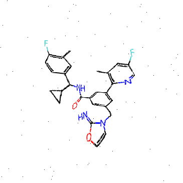 Cc1cc(C(NC(=O)c2cc(Cn3ccoc3=N)cc(-c3ncc(F)cc3C)c2)C2CC2)ccc1F